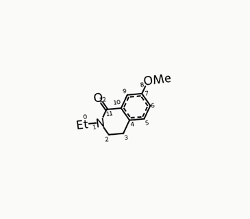 CCN1CCc2ccc(OC)cc2C1=O